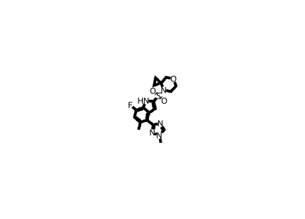 Cc1cc(F)c2[nH]c(S(=O)(=O)N3CCOCC34CC4)cc2c1-c1ncn(C)n1